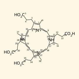 CC1=C(CCC(=O)O)C2=NC1=CC1=C(CCC(=O)O)C(C)C(C=C3N=C(C=c4[nH]c(c(C)c4CCC(=O)O)=C2)C(CCC(=O)O)=C3C)N1